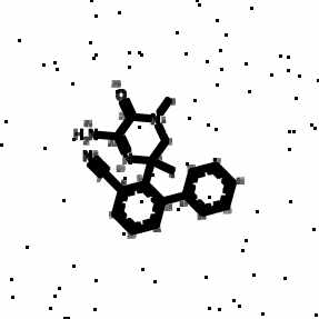 CN1CC(C)(c2c(C#N)cccc2-c2ccccc2)N=C(N)C1=O